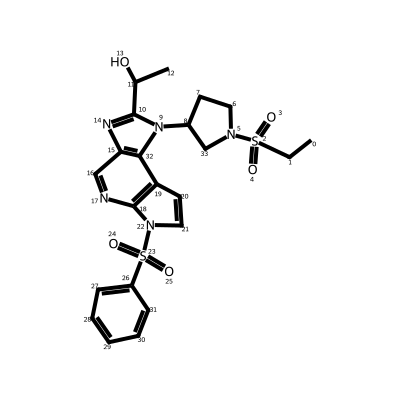 CCS(=O)(=O)N1CCC(n2c(C(C)O)nc3cnc4c(ccn4S(=O)(=O)c4ccccc4)c32)C1